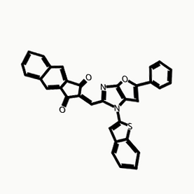 O=C1C(=Cc2nc3oc(-c4ccccc4)cc3n2-c2cc3ccccc3s2)C(=O)c2cc3ccccc3cc21